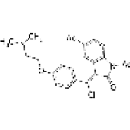 CC(=O)c1ccc2c(c1)/C(=C(/Cl)c1ccc(OCCN(C)C)cc1)C(=O)N2C(C)=O